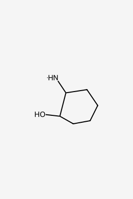 [NH]C1CCCCC1O